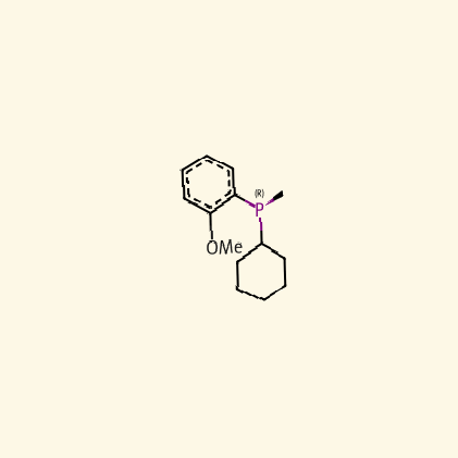 COc1ccccc1[P@@](C)C1CCCCC1